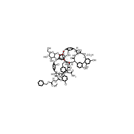 CC(C)C[C@H](NC(=O)OCc1ccccc1)C(=O)N[C@H]1C(=O)N[C@@H](CC(N)=O)C(=O)N[C@H]2C(=O)NC3C(=O)N[C@H](C(=O)N[C@H](C(=O)O)c4cc(O)cc(O)c4-c4cc3ccc4O)[C@H](O)c3ccc(c(Cl)c3)Oc3cc2cc(c3OC2O[C@H](CO)[C@@H](O)[C@H](O)C2O[C@H]2C[C@](C)(NCc3ccc(-c4ccc(Cl)cc4)cc3)[C@H](O)[C@H](C)O2)Oc2ccc(cc2Cl)[C@H]1O